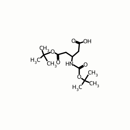 CC(C)(C)OC(=O)CC(CC(=O)O)NC(=O)OC(C)(C)C